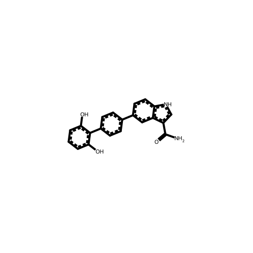 NC(=O)c1c[nH]c2ccc(-c3ccc(-c4c(O)cccc4O)cc3)cc12